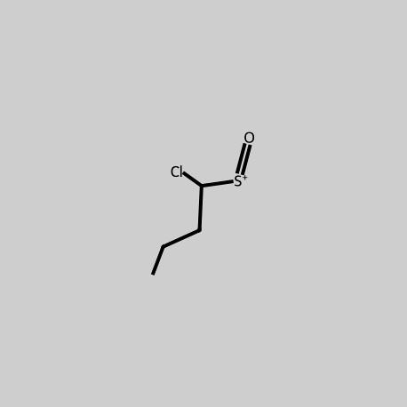 CCCC(Cl)[S+]=O